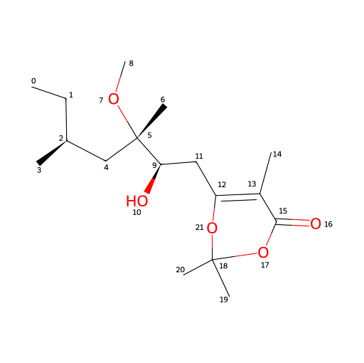 CC[C@H](C)C[C@](C)(OC)[C@H](O)CC1=C(C)C(=O)OC(C)(C)O1